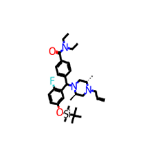 C=CCN1C[C@@H](C)N(C(c2ccc(C(=O)N(CC)CC)cc2)c2cc(O[Si](C)(C)C(C)(C)C)ccc2F)C[C@@H]1C